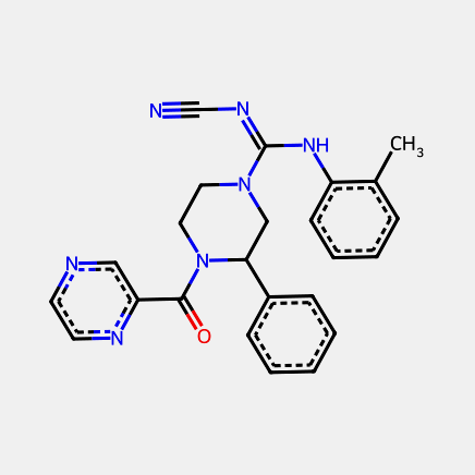 Cc1ccccc1N/C(=N/C#N)N1CCN(C(=O)c2cnccn2)C(c2ccccc2)C1